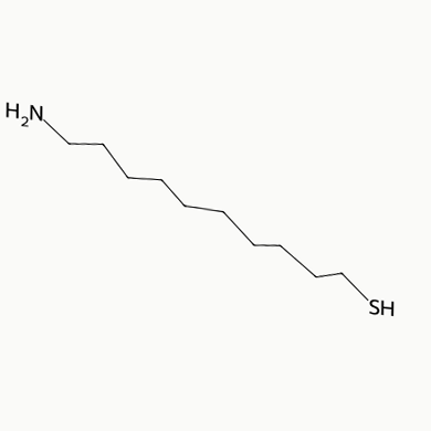 NCCCCCCCCCCS